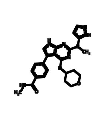 CNC(=O)c1ccc(-c2c[nH]c3nc(N(C)c4ccn[nH]4)nc(OC4CCOCC4)c23)cc1